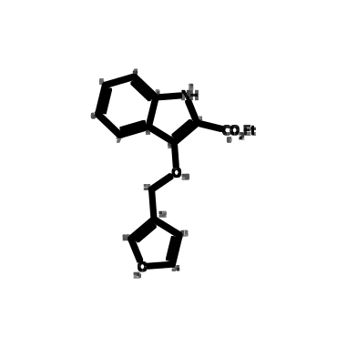 CCOC(=O)c1[nH]c2ccccc2c1OCc1ccoc1